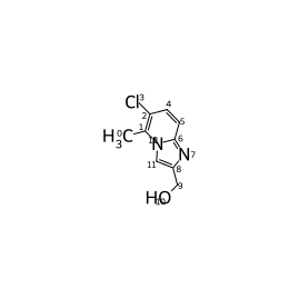 Cc1c(Cl)ccc2nc(CO)cn12